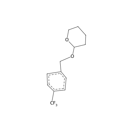 FC(F)(F)c1ccc(COC2CCCCO2)cc1